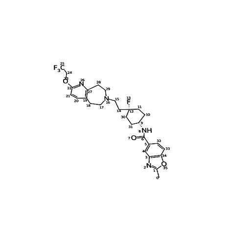 Cc1nc2cc(C(=O)N[C@H]3CC[C@](F)(CCN4CCc5ccc(OCC(F)(F)F)nc5CC4)CC3)ccc2o1